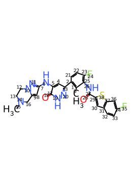 Cc1c(-c2cc(Nc3cc4n(n3)CCN(C)C4)c(=O)[nH]n2)ccc(F)c1NC(=O)c1cc2ccc(F)cc2s1